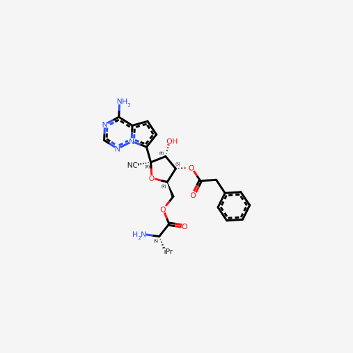 CC(C)[C@H](N)C(=O)OC[C@H]1O[C@@](C#N)(c2ccc3c(N)ncnn23)[C@H](O)[C@@H]1OC(=O)Cc1ccccc1